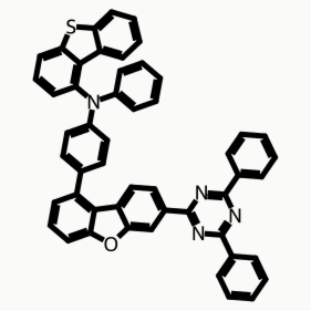 c1ccc(-c2nc(-c3ccccc3)nc(-c3ccc4c(c3)oc3cccc(-c5ccc(N(c6ccccc6)c6cccc7sc8ccccc8c67)cc5)c34)n2)cc1